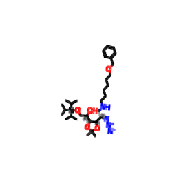 CC(C)[Si](OC[C@@H](O)[C@@H]1OC(C)(C)O[C@@H]1[C@H](CNCCCCCCOCc1ccccc1)N=[N+]=[N-])(C(C)C)C(C)C